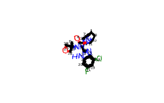 CC1(NC(=O)CN2C3CCC2CN(Cc2nc4c(Cl)cc(F)cc4[nH]2)C3)COC1